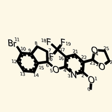 COc1nc(OC2CCc3c(Br)cccc32)c(C(F)(F)F)cc1C1OCCO1